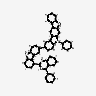 c1ccc(-c2nc(-c3cccc4oc5ccc(-c6ccc7c(c6)c6cc8c(cc6n7-c6ccccc6)oc6ccccc68)cc5c34)nc3ccccc23)cc1